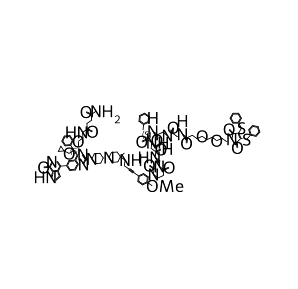 COc1ccc(C#CCNC2(C)CCN(C3CCN(c4nc([C@@](COCNC(=O)CCC(N)=O)(OC5CC5)c5ccccc5)c5cc(-c6cn(C)c(=O)c7[nH]ccc67)ccc5n4)CC3)CC2)cc1N1CCC(=O)N(CNC(=O)CNC(=O)[C@H](Cc2ccccc2)NC(=O)CNC(=O)CNC(=O)CCOCCOCCN2C(=O)C(Sc3ccccc3)=C(Sc3ccccc3)C2=O)C1=O